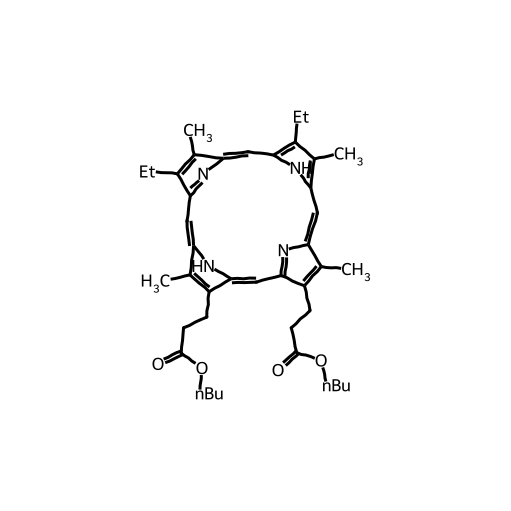 CCCCOC(=O)CCC1=C(C)c2cc3[nH]c(cc4nc(cc5[nH]c(cc1n2)c(CCC(=O)OCCCC)c5C)C(CC)=C4C)c(CC)c3C